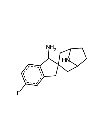 NC1c2ccc(F)cc2CC12CC1CCC(C2)N1